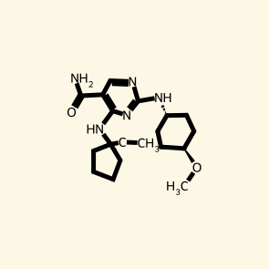 CCC1(Nc2nc(N[C@H]3CC[C@H](OC)CC3)ncc2C(N)=O)CCCC1